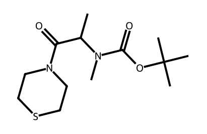 CC(C(=O)N1CCSCC1)N(C)C(=O)OC(C)(C)C